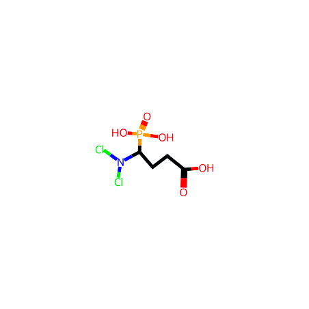 O=C(O)CCC(N(Cl)Cl)P(=O)(O)O